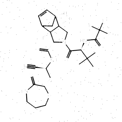 CC(C)(C)[C@H](NC(=O)C(F)(F)F)C(=O)N1C[C@H]2[C@@H]([C@H]1C(=O)N[C@H](C#N)C[C@@H]1OCCCNC1=O)[C@H]1C=C[C@@H]2C1